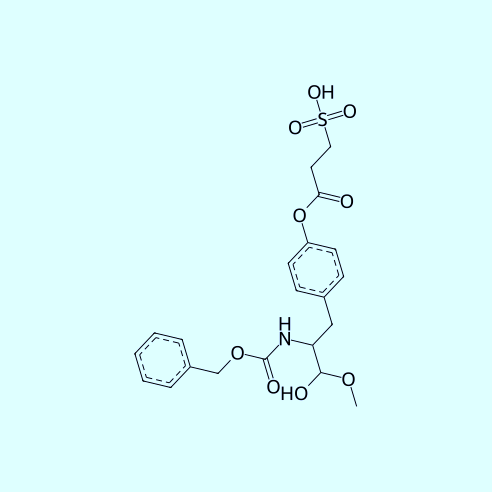 COC(O)C(Cc1ccc(OC(=O)CCS(=O)(=O)O)cc1)NC(=O)OCc1ccccc1